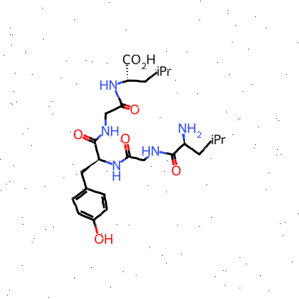 CC(C)C[C@H](NC(=O)CNC(=O)[C@H](Cc1ccc(O)cc1)NC(=O)CNC(=O)[C@@H](N)CC(C)C)C(=O)O